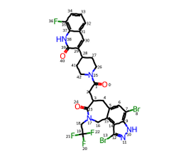 O=C(CC1Cc2cc(Br)c3[nH]nc(Br)c3c2CN(CC(F)(F)F)C1=O)N1CCC(c2cc3cccc(F)c3[nH]c2=O)CC1